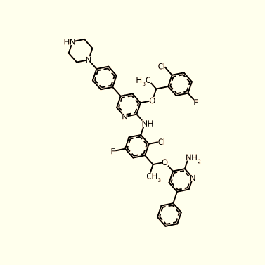 CC(Oc1cc(-c2ccc(N3CCNCC3)cc2)cnc1Nc1cc(F)cc(C(C)Oc2cc(-c3ccccc3)cnc2N)c1Cl)c1cc(F)ccc1Cl